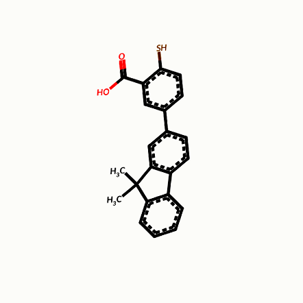 CC1(C)c2ccccc2-c2ccc(-c3ccc(S)c(C(=O)O)c3)cc21